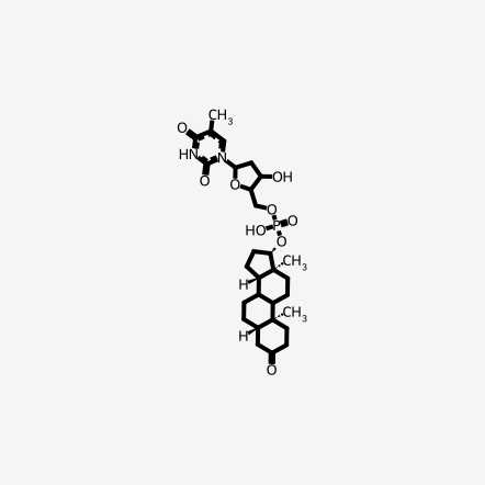 Cc1cn(C2CC(O)C(COP(=O)(O)O[C@H]3CC[C@H]4C5CC[C@H]6CC(=O)CC[C@]6(C)C5CC[C@]34C)O2)c(=O)[nH]c1=O